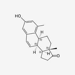 Cc1cc(O)cc2c1[C@H]1CC[C@]3(C)C(=O)CC[C@H]3[C@H]1C=C2